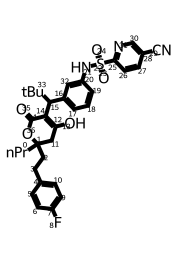 CCCC1(CCc2ccc(F)cc2)CC(O)=C(C(c2cccc(NS(=O)(=O)c3ccc(C#N)cn3)c2)C(C)(C)C)C(=O)O1